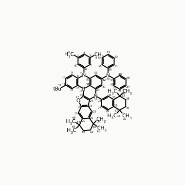 Cc1cc(C)cc(N2c3ccc(C(C)(C)C)cc3B3c4oc5cc6c(cc5c4N(c4ccc5c(c4)C(C)(C)CCC5(C)C)c4cc(N(c5ccccc5)c5ccccc5)cc2c43)C(C)(C)CCC6(C)C)c1